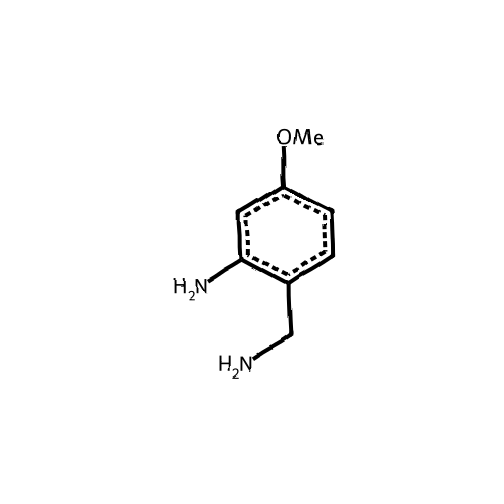 COc1ccc(CN)c(N)c1